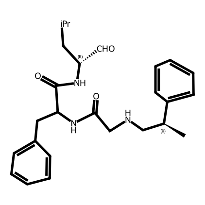 CC(C)C[C@H](C=O)NC(=O)C(Cc1ccccc1)NC(=O)CNC[C@H](C)c1ccccc1